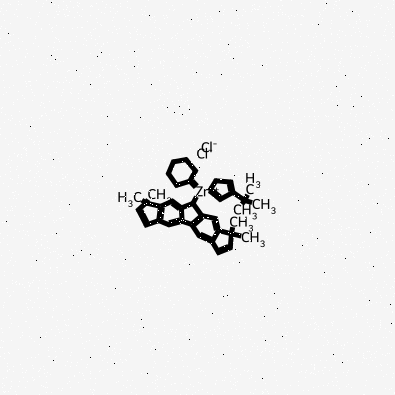 CC(C)(C)C1=CC[C]([Zr+2](=[C]2CCCCC2)[CH]2c3cc4c(cc3-c3cc5c(cc32)C(C)(C)C=C5)C=CC4(C)C)=C1.[Cl-].[Cl-]